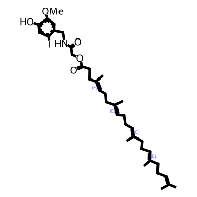 COc1cc(CNC(=O)COC(=O)CC/C(C)=C/CC/C(C)=C/CC/C=C(\C)CC/C=C(\C)CCC=C(C)C)c(I)cc1O